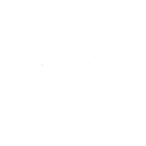 CCCSCC(C)C(=O)NCCC[N+](C)(C)CC(=O)O